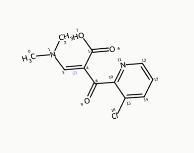 CN(C)/C=C(\C(=O)O)C(=O)c1ncccc1Cl